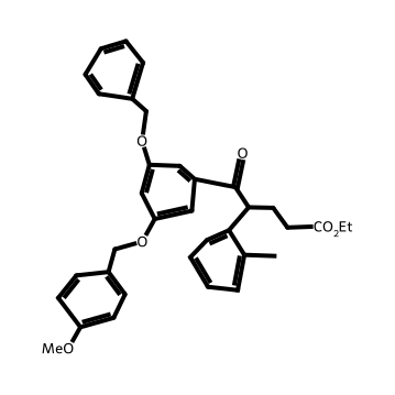 CCOC(=O)CCC(C(=O)c1cc(OCc2ccccc2)cc(OCc2ccc(OC)cc2)c1)c1ccccc1C